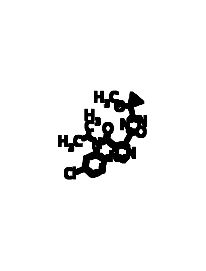 COC1(c2noc(-c3ncn4c3c(=O)n(C(C)C)c3cc(Cl)ccc34)n2)CC1